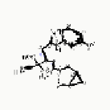 C#CC(CCC)(CCC)C(/C=C(\C)N1CC2CC2C1)=C/C(=C)Nc1cc(C#N)ccn1